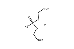 CCCCCCCCCCCOP(=O)(S)SCCCCCCCCCCC.[Zn]